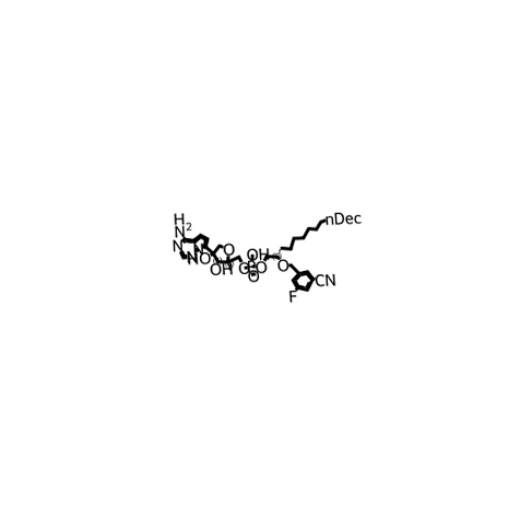 CCCCCCCCCCCCCCCCC[C@@H](COP(=O)(O)OC[C@@]1(C)OCC(O)(c2ccc3c(N)ncnn23)[C@@H]1O)OCc1cc(F)cc(C#N)c1